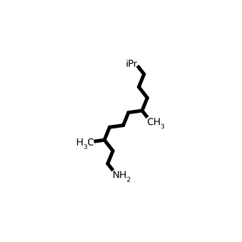 CC(C)CCCC(C)CCCC(C)CCN